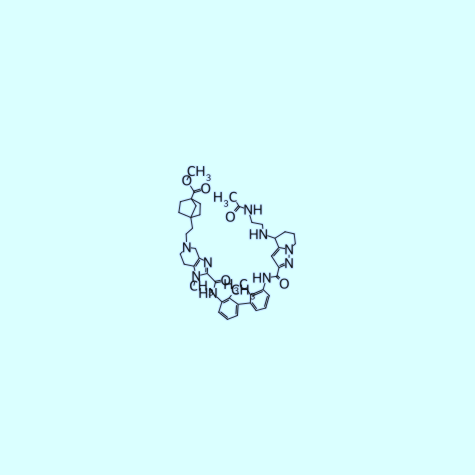 COC(=O)C12CCC(CCN3CCc4c(nc(C(=O)Nc5cccc(-c6cccc(NC(=O)c7cc8n(n7)CCCC8NCCNC(C)=O)c6C)c5C)n4C)C3)(CC1)C2